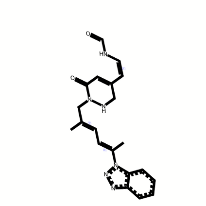 C/C(=C\C=C(/C)n1nnc2ccccc21)CN1NCC(/C=C\NC=O)=CC1=O